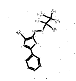 Cc1nc(-c2ccccc2)sc1BOC(C)(C)C(C)(C)O